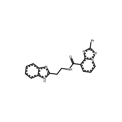 CC(C)c1nc2c(C(=O)NCCc3nc4ccccc4[nH]3)cccn2n1